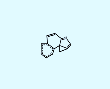 C1=Cc2ccccc2C23CC2=CN=C13